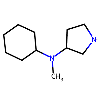 CN(C1CCCCC1)C1CC[N]C1